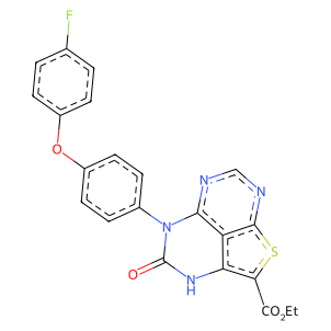 CCOC(=O)c1sc2ncnc3c2c1NC(=O)N3c1ccc(Oc2ccc(F)cc2)cc1